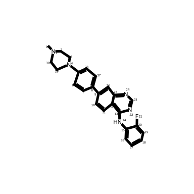 CN1CCN(c2ccc(-c3ccc4c(Nc5ccccc5F)ncnc4c3)cc2)CC1